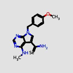 CNc1ncnc2c1c(C(N)=[Se])cn2Cc1ccc(OC)cc1